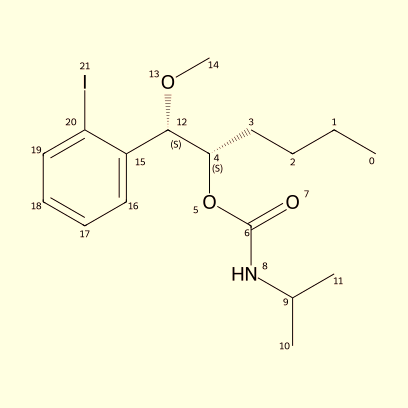 CCCC[C@H](OC(=O)NC(C)C)[C@@H](OC)c1ccccc1I